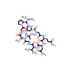 CC(=O)C[C@H](NC(=O)[C@H](CCC(N)=O)NC(=O)CNC(=O)[C@@H]1C[C@@H](O)CN1)C(=O)N[C@H](C(=O)N[C@@H](CC(C)C)C(=O)N[C@@H](C)C(=O)NCC(=O)N1CCC[C@H]1C(=O)N(C)C)C(C)C